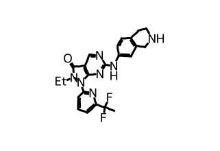 CCn1c(=O)c2cnc(Nc3ccc4c(c3)CNCC4)nc2n1-c1cccc(C(C)(F)F)n1